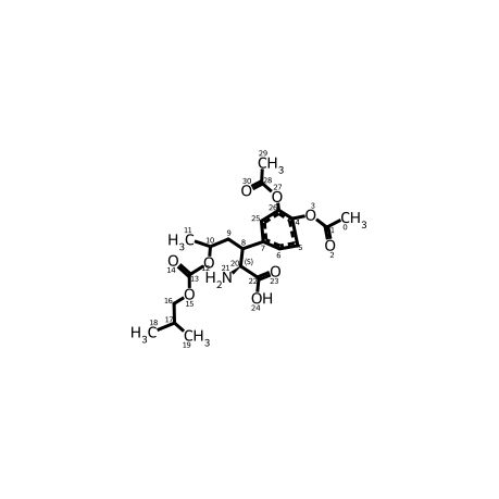 CC(=O)Oc1ccc(C(CC(C)OC(=O)OCC(C)C)[C@H](N)C(=O)O)cc1OC(C)=O